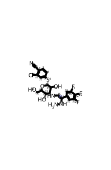 N#Cc1ccc(S[C@H]2OC(CO)[C@H](O)C(N/C=C(\NN)c3cc(F)c(F)c(F)c3)C2O)cc1Cl